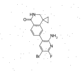 Nc1nc(F)c(Br)cc1-c1ccc2c(c1)C1(CC1)CNC2=O